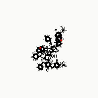 [2H]C([2H])([2H])Oc1ccc(Cc2cc([C@]34OC[C@@](C(O)C(O)C5(CO)O[C@@](OC)(c6ccc(Cl)c(Cc7ccc(OC([2H])([2H])[2H])c(F)c7)c6)[C@H](OCc6ccccc6)[C@@H](OCc6ccccc6)[C@H]5OCc5ccccc5)(O3)[C@H](OCc3ccccc3)[C@H](OCc3ccccc3)[C@H]4OCc3ccccc3)ccc2Cl)cc1F